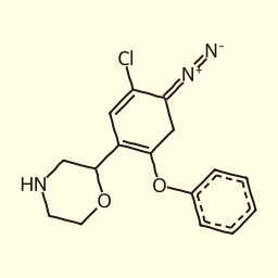 [N-]=[N+]=C1CC(Oc2ccccc2)=C(C2CNCCO2)C=C1Cl